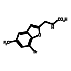 O=C(O)NCc1cc2cc(C(F)(F)F)cc(Br)c2o1